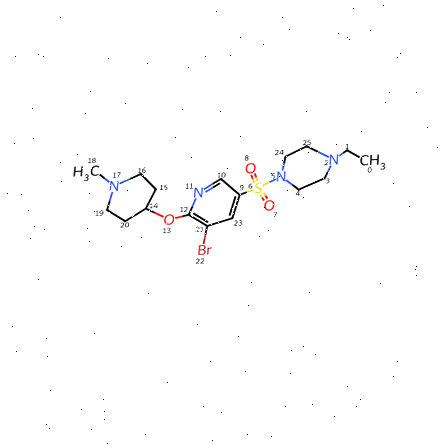 CCN1CCN(S(=O)(=O)c2cnc(OC3CCN(C)CC3)c(Br)c2)CC1